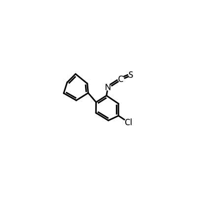 S=C=Nc1cc(Cl)ccc1-c1ccccc1